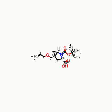 C=CCOC[C@@]12C[C@@H]1N(C(=O)OC(C)(C)C)[C@H](C(=O)O)C2